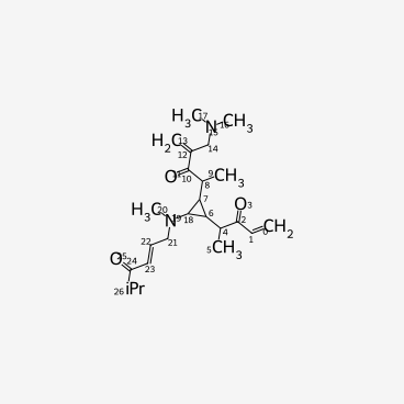 C=CC(=O)C(C)C1C(C(C)C(=O)C(=C)CN(C)C)C1N(C)C/C=C/C(=O)C(C)C